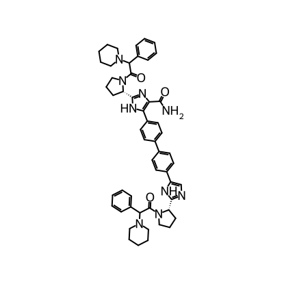 NC(=O)c1nc([C@@H]2CCCN2C(=O)C(c2ccccc2)N2CCCCC2)[nH]c1-c1ccc(-c2ccc(-c3cnc([C@@H]4CCCN4C(=O)C(c4ccccc4)N4CCCCC4)[nH]3)cc2)cc1